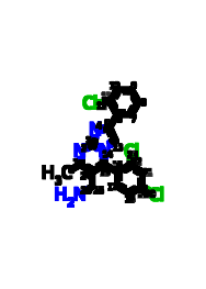 Cc1nc2nc(-c3ccccc3Cl)cn2c(-c2ccc(Cl)cc2Cl)c1CN